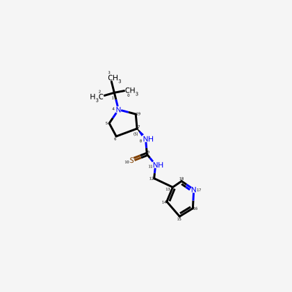 CC(C)(C)N1CC[C@H](NC(=S)NCc2cccnc2)C1